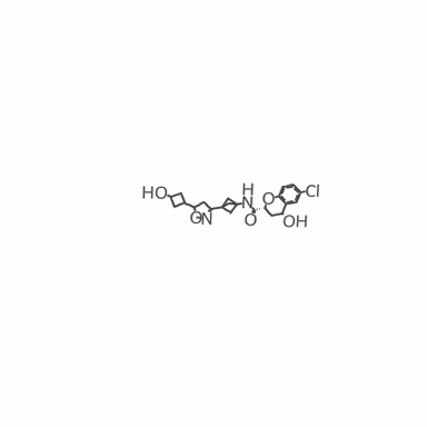 O=C(NC12CC(C3=NOC(C4CC(O)C4)C3)(C1)C2)[C@H]1C[C@@H](O)c2cc(Cl)ccc2O1